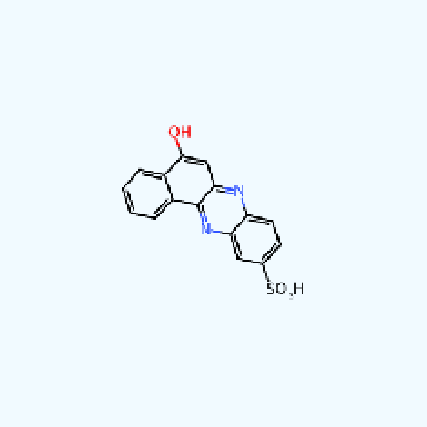 O=S(=O)(O)c1ccc2nc3cc(O)c4ccccc4c3nc2c1